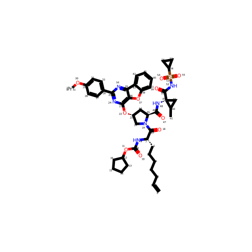 C=CCCCCC[C@H](NC(=O)OC1CCCC1)C(=O)N1C[C@H](Oc2nc(-c3ccc(OC(C)C)cc3)nc3c2oc2ccccc23)C[C@H]1C(=O)N[C@]1(C(=O)NS(=O)(=O)C2CC2)CC1C